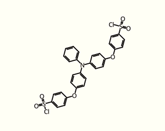 O=S(=O)(Cl)c1ccc(Oc2ccc(N(c3ccccc3)c3ccc(Oc4ccc(S(=O)(=O)Cl)cc4)cc3)cc2)cc1